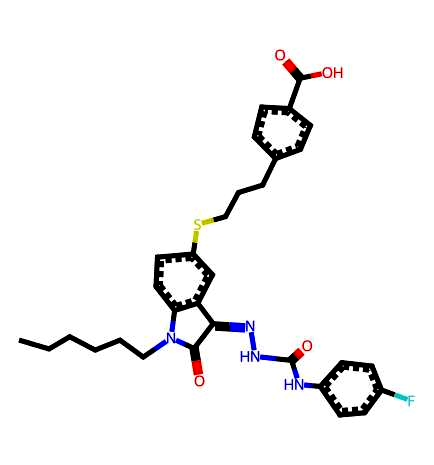 CCCCCCN1C(=O)C(=NNC(=O)Nc2ccc(F)cc2)c2cc(SCCCc3ccc(C(=O)O)cc3)ccc21